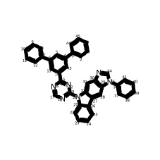 c1ccc(-c2cc(-c3ccccc3)cc(-c3ncnc(-n4c5ccccc5c5cc6c(cc54)ncn6-c4ccccc4)n3)c2)cc1